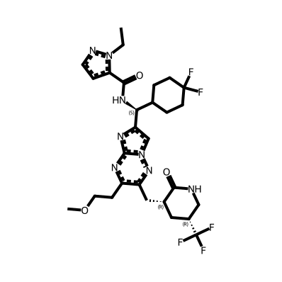 CCn1nccc1C(=O)N[C@H](c1cn2nc(C[C@H]3C[C@@H](C(F)(F)F)CNC3=O)c(CCOC)nc2n1)C1CCC(F)(F)CC1